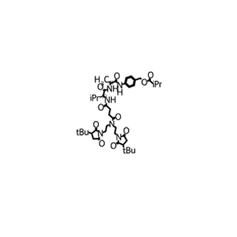 CC(C)C(=O)OCc1ccc(NC(=O)[C@H](C)NC(=O)[C@@H](NC(=O)CCC(=O)N(CCN2C(=O)CC(C(C)(C)C)C2=O)CCN2C(=O)CC(C(C)(C)C)C2=O)C(C)C)cc1